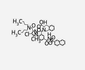 CCCCN(CCCC)C(=O)c1nn(-c2ccc(C(=O)NS(=O)(=O)c3ccc4ccccc4c3)cc2C(=O)N2Cc3ccccc3CC2C(=O)O)c(C)c1Cl